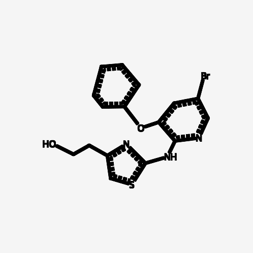 OCCc1csc(Nc2ncc(Br)cc2Oc2ccccc2)n1